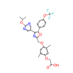 Cc1cc(OCc2nc(-c3cnc(OC(C)C)nc3)c(-c3ccc(OC(F)(F)F)cc3)o2)c(C)cc1OCC(=O)O